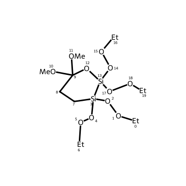 CCOO[Si]1(OOCC)CCC(OC)(OC)O[Si]1(OOCC)OOCC